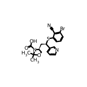 CC1(C)OC[C@H](C[C@@H](Sc2cccc(Br)c2C#N)c2cccnc2)N1C(=O)O